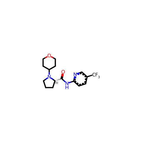 O=C(Nc1ccc(C(F)(F)F)cn1)[C@@H]1CCCN1C1CCOCC1